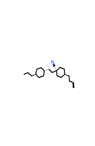 C=CCC[C@H]1CC[C@@](C#N)(CC[C@H]2CC[C@H](CCC)CC2)CC1